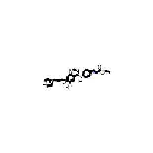 CCOC(=O)/C=C/c1ccc(Nc2ncnc3cc(OCCCN4CCOCC4)c(OC)cc23)cc1